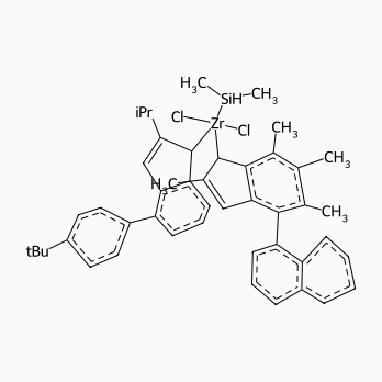 CC1=Cc2c(-c3cccc4ccccc34)c(C)c(C)c(C)c2[CH]1[Zr]([Cl])([Cl])([CH]1C(C(C)C)=Cc2c(-c3ccc(C(C)(C)C)cc3)cccc21)[SiH](C)C